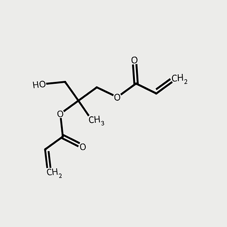 C=CC(=O)OCC(C)(CO)OC(=O)C=C